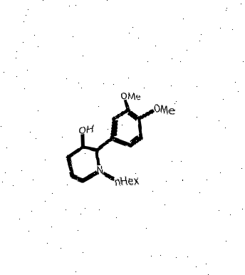 CCCCCCN1CCCC(O)C1c1ccc(OC)c(OC)c1